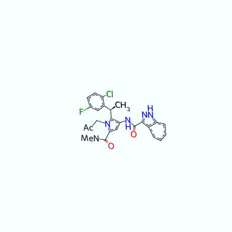 CNC(=O)c1cc(NC(=O)c2n[nH]c3ccccc23)c([C@H](C)c2cc(F)ccc2Cl)n1CC(C)=O